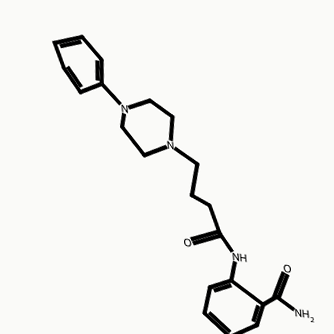 NC(=O)c1ccccc1NC(=O)CCCN1CCN(c2ccccc2)CC1